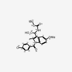 COc1ccc2c(c1)c(C(NC(=O)OC(C)(C)C)C(=O)O)c(C)n2C(=O)c1ccc(Cl)cc1